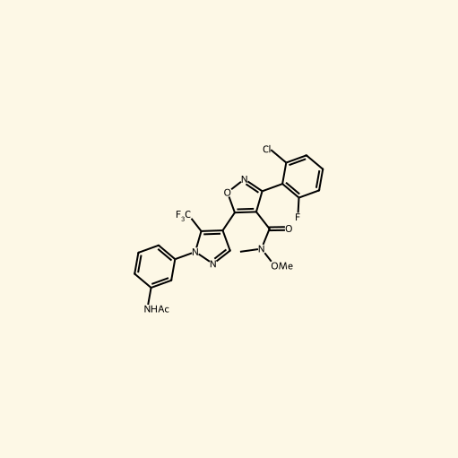 CON(C)C(=O)c1c(-c2c(F)cccc2Cl)noc1-c1cnn(-c2cccc(NC(C)=O)c2)c1C(F)(F)F